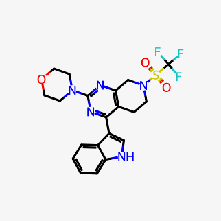 O=S(=O)(N1CCc2c(nc(N3CCOCC3)nc2-c2c[nH]c3ccccc23)C1)C(F)(F)F